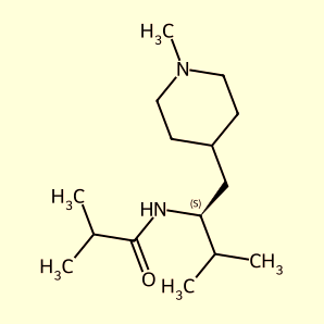 CC(C)C(=O)N[C@@H](CC1CCN(C)CC1)C(C)C